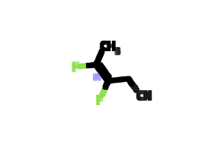 C/C(F)=C(/F)CC#N